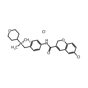 C[N+](C)(Cc1ccc(NC(=O)C2=Cc3cc(Cl)ccc3OC2)cc1)C1CCOCC1.[Cl-]